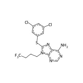 Nc1ncnc2c1nc(Sc1cc(Cl)cc(Cl)c1)n2CCCC(F)(F)F